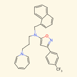 FC(F)(F)c1ccc(-c2cc(N(CCCN3C=CC=CC=C3)Cc3cccc4ccccc34)on2)cc1